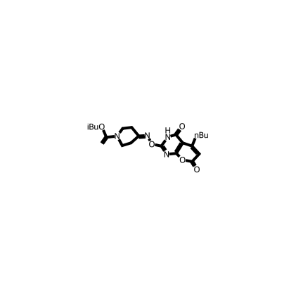 C=C(OCC(C)C)N1CCC(=NOc2nc3oc(=O)cc(CCCC)c3c(=O)[nH]2)CC1